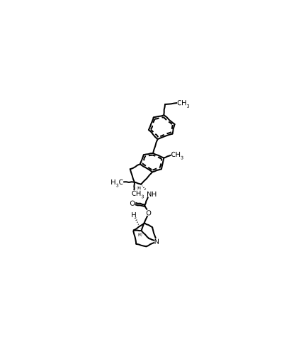 CCc1ccc(-c2cc3c(cc2C)[C@H](NC(=O)O[C@H]2CN4CCC2CC4)C(C)(C)C3)cc1